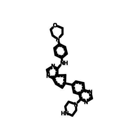 c1nc(Nc2ccc(N3CCOCC3)cc2)c2cc(-c3ccc4ncnc(N5CCNCC5)c4c3)ccc2n1